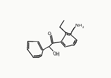 CCc1c(N)cccc1C(=O)C(O)c1ccccc1